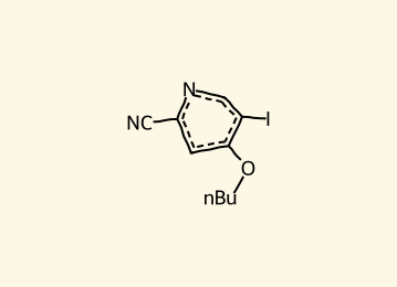 CCCCOc1cc(C#N)ncc1I